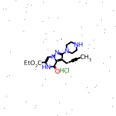 CC#CCc1c(N2CCNCC2)nn2cc(C(=O)OCC)[nH]c(=O)c12.Cl